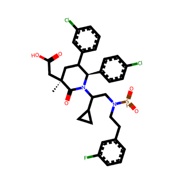 C[C@]1(CC(=O)O)CC(c2cccc(Cl)c2)[C@@H](c2ccc(Cl)cc2)N(C(CN(CCc2cccc(F)c2)[SH](=O)=O)C2CC2)C1=O